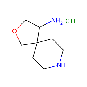 Cl.NC1COCC12CCNCC2